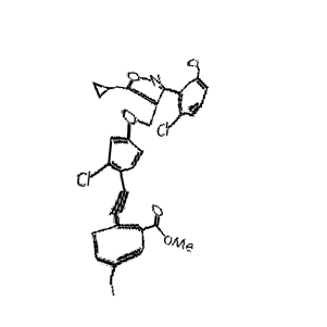 COC(=O)c1cc(I)ccc1C#Cc1ccc(OCc2c(-c3c(Cl)cccc3Cl)noc2C2CC2)cc1Cl